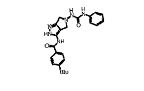 CC(C)(C)c1ccc(C(=O)Nc2[nH]nc3c2CN(NC(=O)Nc2ccccc2)C3)cc1